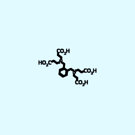 O=C(O)CCN(CCC(=O)O)Cc1ccccc1CN(CCC(=O)O)CCC(=O)O